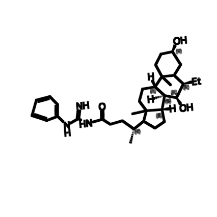 CC[C@@H]1C2C[C@H](O)CCC2(C)[C@H]2CCC3(C)C([C@H](C)CCC(=O)NC(=N)Nc4ccccc4)CC[C@H]3[C@@H]2[C@@H]1O